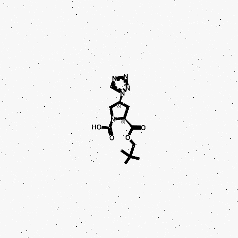 CC(C)(C)COC(=O)[C@@H]1C[C@H](n2cnnn2)CN1C(=O)O